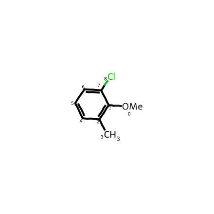 COc1c(C)c[c]cc1Cl